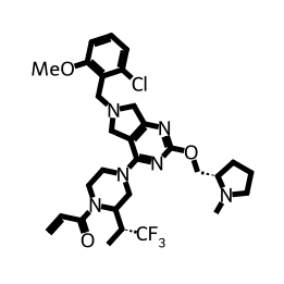 C=CC(=O)N1CCN(c2nc(OC[C@@H]3CCCN3C)nc3c2CN(Cc2c(Cl)cccc2OC)C3)CC1[C@@H](C)C(F)(F)F